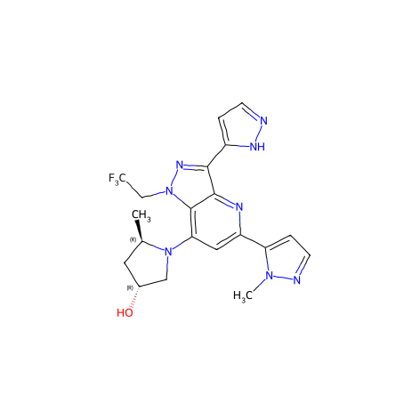 C[C@@H]1C[C@@H](O)CN1c1cc(-c2ccnn2C)nc2c(-c3ccn[nH]3)nn(CC(F)(F)F)c12